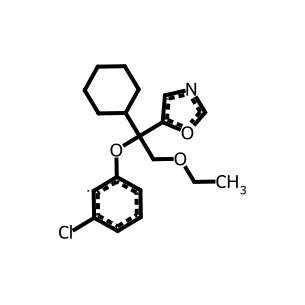 CCOCC(Oc1[c]c(Cl)ccc1)(c1cnco1)C1CCCCC1